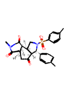 Cc1ccc([C@@H]2[C@H]3C(=O)C[C@H]4C(=O)N(C)C(=O)[C@H]4[C@H]3CN2S(=O)(=O)c2ccc(C)cc2)cc1